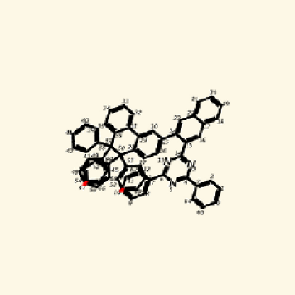 c1ccc(-c2nc(-c3ccccc3)nc(-c3cc4ccccc4cc3-c3ccc4c(c3)-c3ccccc3C(c3ccccc3)(c3ccccc3)C4(c3ccccc3)c3ccccc3)n2)cc1